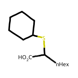 CCCCCCC(SC1CCCCC1)C(=O)O